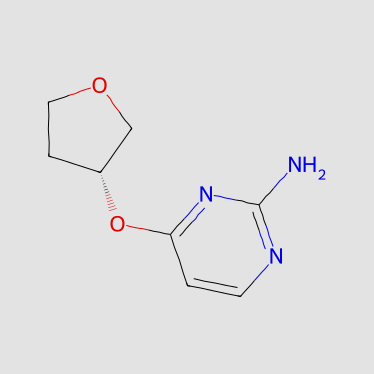 Nc1nccc(O[C@@H]2CCOC2)n1